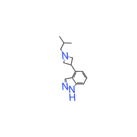 CC(C)CN1CC(c2cccc3[nH]ncc23)C1